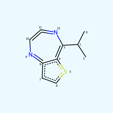 CC(C)C1=c2sccc2=NC=C=N1